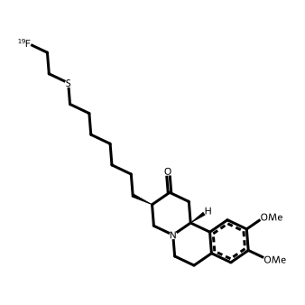 COc1cc2c(cc1OC)[C@H]1CC(=O)[C@H](CCCCCCCSCC[19F])CN1CC2